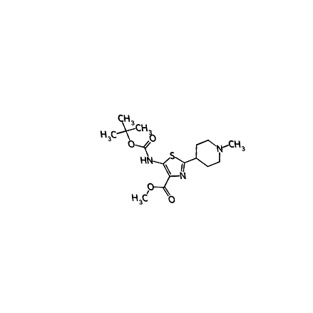 COC(=O)c1nc(C2CCN(C)CC2)sc1NC(=O)OC(C)(C)C